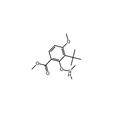 COC(=O)c1ccc(OC)c(C(C)(C)C)c1O[SiH](C)C